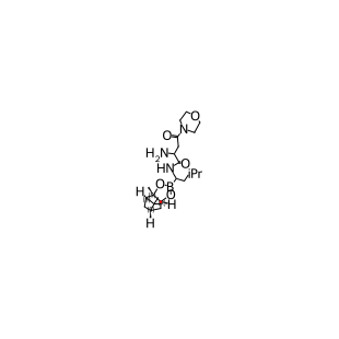 CC(C)CC(NC(=O)C(N)CC(=O)N1CCOCC1)B1O[C@@H]2C[C@@H]3C[C@@H](C3(C)C)[C@]2(C)O1